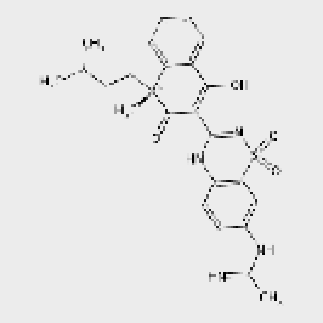 CC(=N)Nc1ccc2c(c1)S(=O)(=O)N=C(C1=C(O)c3ccccc3[C@@](C)(CCC(C)C)C1=O)N2